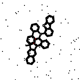 CC1(C)c2cc3ccccc3cc2-c2c1cc(N(c1ccccc1-c1ccccc1)c1cccc3c1oc1ccccc13)c1ccccc21